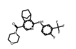 O=C(c1cnc(Nc2ccc(F)c(C(F)(F)F)c2)c2c1C1CCC2C1)N1CCOCC1